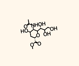 COC(=O)[C@@H]1CC(O)[C@@H](NC(C)=O)C([C@H](O)C(O)CO)O1